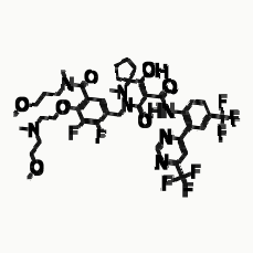 COCCCN(C)C(=O)c1cc(CN2C(=O)C(C(=O)Nc3ccc(C(F)(F)F)cc3-c3cc(C(F)(F)F)ncn3)=C(O)C3(CCCC3)N2C)c(F)c(F)c1OCCN(C)CCOC